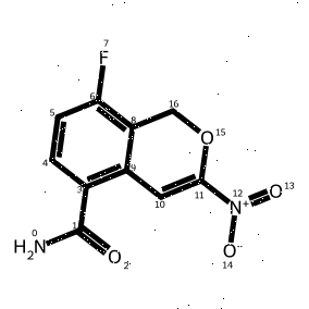 NC(=O)c1ccc(F)c2c1C=C([N+](=O)[O-])OC2